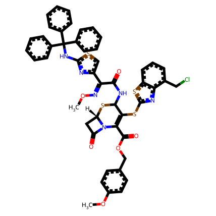 CON=C(C(=O)NC1S[C@H]2CC(=O)N2C(C(=O)OCc2ccc(OC)cc2)=C1Sc1nc2c(CCl)cccc2s1)c1csc(NC(c2ccccc2)(c2ccccc2)c2ccccc2)n1